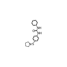 O=C(Nc1ccccc1)Nc1ccc(SN2CCCC2)cc1